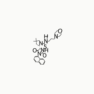 CC1(C)CC([C@@H]2NC(=O)N(c3cccc4ccccc34)C2=O)N(C(=S)NCCCN2CCOCC2)C1